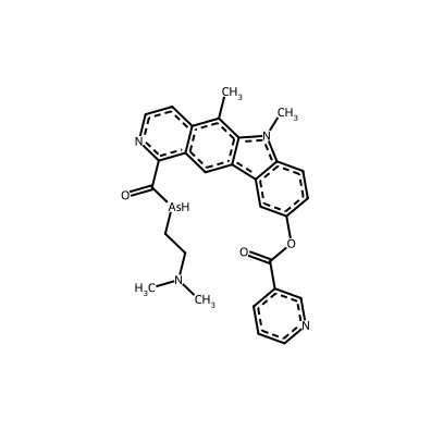 Cc1c2ccnc(C(=O)[AsH]CCN(C)C)c2cc2c3cc(OC(=O)c4cccnc4)ccc3n(C)c12